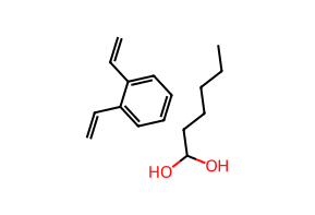 C=Cc1ccccc1C=C.CCCCCC(O)O